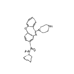 O=C(NC1CCCC1)c1ccc2c(c1)N=C(N1CCNCC1)c1ccccc1O2